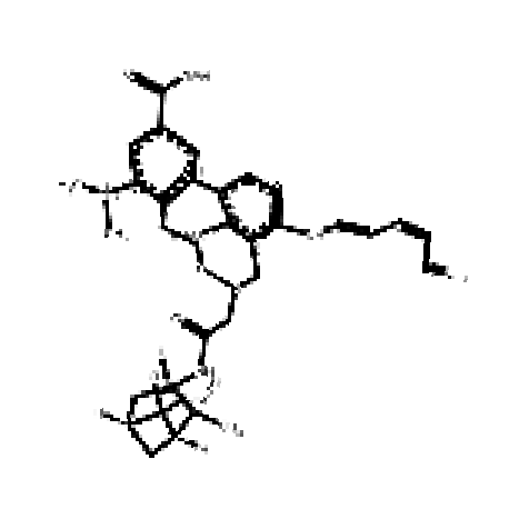 C=C/C=C\C=C\NC(=O)NC[C@@H](C[C@H](C)O)ON(CC(=O)N[C@H]1C[C@H]2C[C@@H]([C@@H]1C)C2(C)C)Cc1cccc(-c2cc(C(=O)NC)cc(N(C)C)c2)c1OC